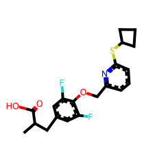 CC(Cc1cc(F)c(OCc2cccc(SC3CCC3)n2)c(F)c1)C(=O)O